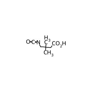 CC(C)(CN=C=O)CC(=O)O